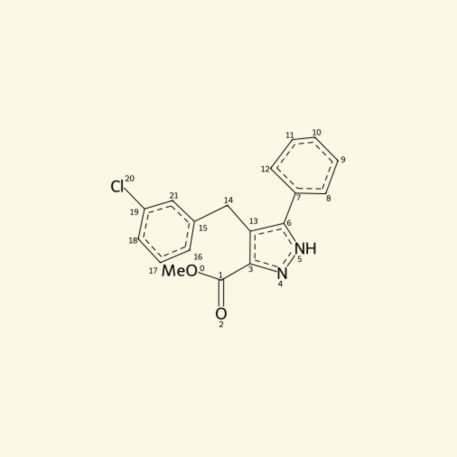 COC(=O)c1n[nH]c(-c2ccccc2)c1Cc1cccc(Cl)c1